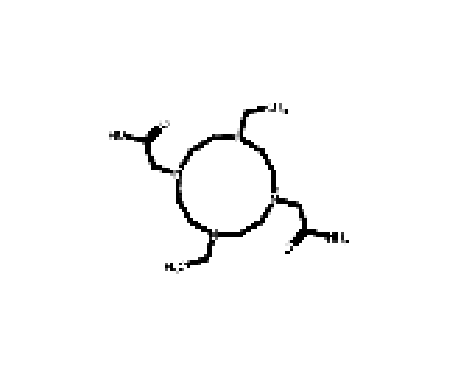 CCN1CCN(CC(N)=O)CCN(CC)CCN(CC(=O)O)CC1